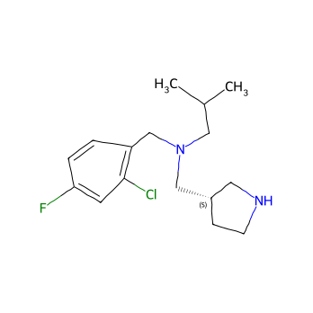 CC(C)CN(Cc1ccc(F)cc1Cl)C[C@H]1CCNC1